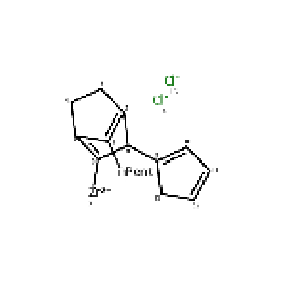 CCCCCC1=C2CCC1=[C]([Zr+2])C2C1=CC=CC1.[Cl-].[Cl-]